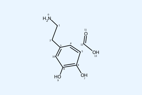 NCCc1ccc(O)c(O)c1.O=CO